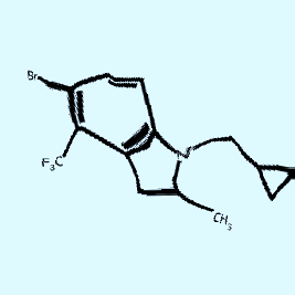 CC1Cc2c(ccc(Br)c2C(F)(F)F)N1CC1CC1